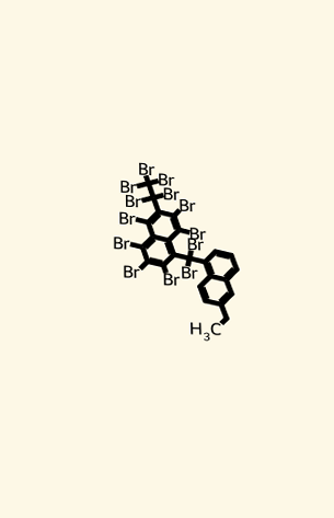 CCc1ccc2c(C(Br)(Br)c3c(Br)c(Br)c(Br)c4c(Br)c(C(Br)(Br)C(Br)(Br)Br)c(Br)c(Br)c34)cccc2c1